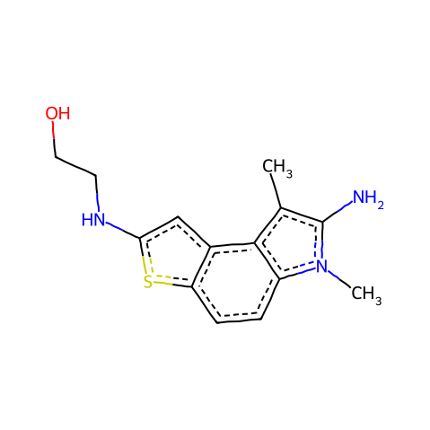 Cc1c(N)n(C)c2ccc3sc(NCCO)cc3c12